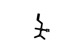 C=CC[Si](C)(CC)N(C)C